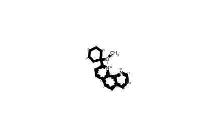 COC1(c2ccc3ccc4cccnc4c3n2)CCCCC1